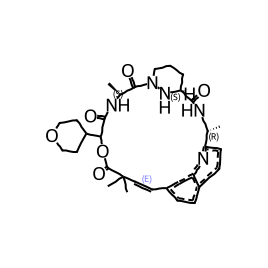 C[C@@H]1NC(=O)C(C2CCOCC2)OC(=O)C(C)(C)/C=C/c2ccc3ccc(nc3c2)[C@@H](C)NC(=O)[C@@H]2CCCN(N2)C1=O